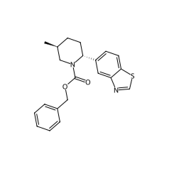 C[C@H]1CC[C@H](c2ccc3scnc3c2)N(C(=O)OCc2ccccc2)C1